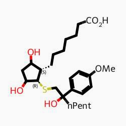 CCCCCC(O)(CS[C@H]1C(O)CC(O)[C@@H]1CCCCCCC(=O)O)c1ccc(OC)cc1